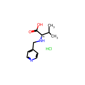 CC(C)[C@@H](NCc1ccncc1)C(=O)O.Cl